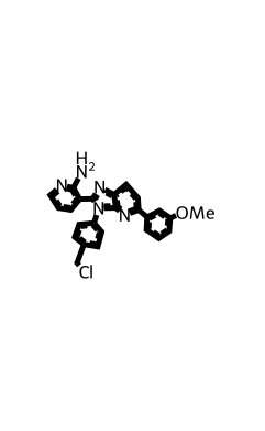 COc1cccc(-c2ccc3nc(-c4cccnc4N)n(-c4ccc(CCl)cc4)c3n2)c1